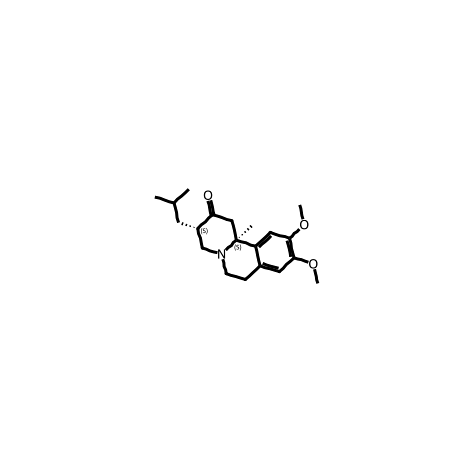 COc1cc2c(cc1OC)[C@]1(C)CC(=O)[C@@H](CC(C)C)CN1CC2